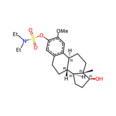 CCN(CC)S(=O)(=O)Oc1cc2c(cc1OC)[C@H]1CC[C@]3(C)[C@@H](O)CC[C@H]3[C@@H]1CC2